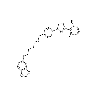 Fc1cccc(F)c1C1=NC(c2ccc(CSSCCCOc3ccc4c(c3)OCO4)cc2)CO1